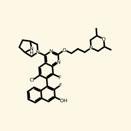 CC1CN(CCCOc2nc(N3CC4CCC(C3)N4)c3cc(Cl)c(-c4c(F)c(O)cc5ccccc45)c(F)c3n2)CC(C)O1